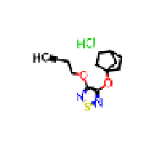 C#CCCOc1nsnc1OC12CCC(CC1)C2.Cl